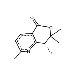 Cc1ccc2c(n1)[C@@H](C)C(C)(C)OC2=O